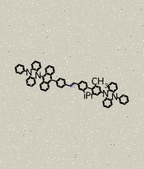 Cc1cc(N2c3ccccc3N(c3ccccc3)c3ccccc32)ccc1-c1ccc(/C=C/c2ccc(-c3c4ccccc4c(N4c5ccccc5N(c5ccccc5)c5ccccc54)c4ccccc34)cc2)cc1C(C)C